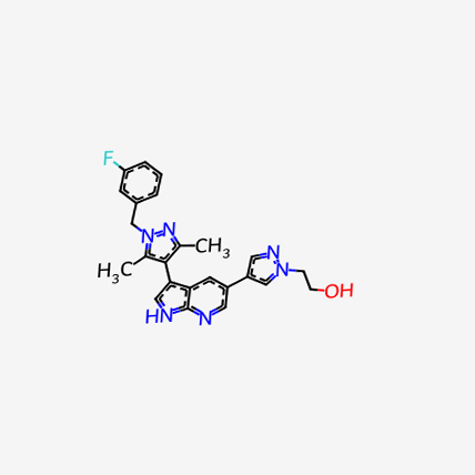 Cc1nn(Cc2cccc(F)c2)c(C)c1-c1c[nH]c2ncc(-c3cnn(CCO)c3)cc12